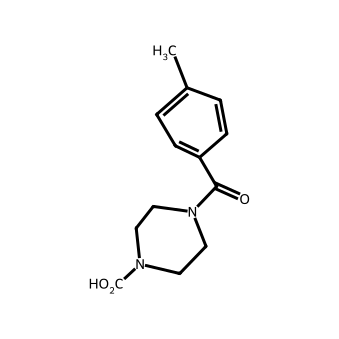 Cc1ccc(C(=O)N2CCN(C(=O)O)CC2)cc1